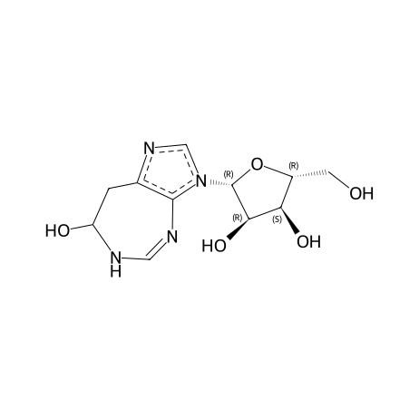 OC[C@H]1O[C@@H](n2cnc3c2N=CNC(O)C3)[C@H](O)[C@@H]1O